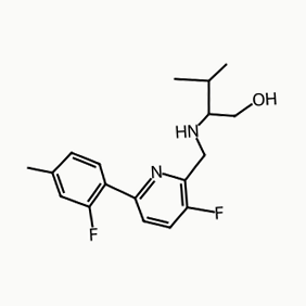 Cc1ccc(-c2ccc(F)c(CNC(CO)C(C)C)n2)c(F)c1